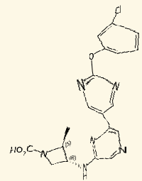 C[C@H]1[C@H](Nc2cncc(-c3cnc(Oc4cccc(Cl)c4)nc3)n2)CN1C(=O)O